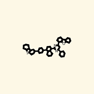 c1ccc(-c2cc(-c3cccc4c3oc3ccccc34)nc(-c3ccc(-c4ccc(-c5ccc6sc7ccccc7c6c5)cc4)c4ccccc34)n2)cc1